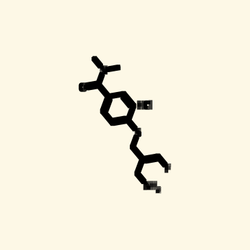 CN(C)C(=O)c1ccc(SCC(=CF)CN)cc1.Cl